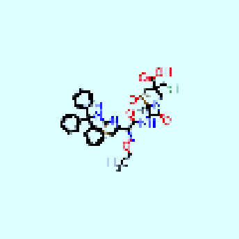 CCON=C(C(=O)NC1C(=O)N2CC(CCl)(C(=O)O)C[S+]([O-])[C@H]12)c1csc(NC(c2ccccc2)(c2ccccc2)c2ccccc2)n1